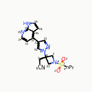 CCCS(=O)(=O)N1CC(CC#N)(n2cc(-c3ccnc4[nH]ccc34)cn2)C1